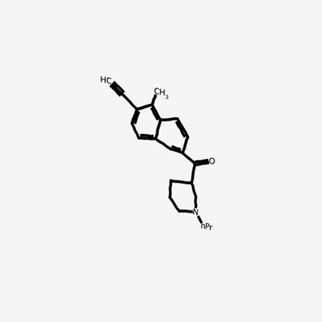 C#Cc1ccc2cc(C(=O)C3CCCN(CCC)C3)ccc2c1C